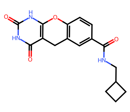 O=C(NCC1CCC1)c1ccc2c(c1)Cc1c([nH]c(=O)[nH]c1=O)O2